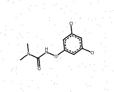 CN(C)C(=O)NOc1cc(Cl)cc(Cl)c1